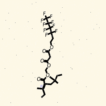 CC/C(C)=C(\CC(C)(C)CC)C(=O)OCOC(=O)CC(=O)OCCC(F)(F)C(F)(F)C(F)(F)C(F)(F)F